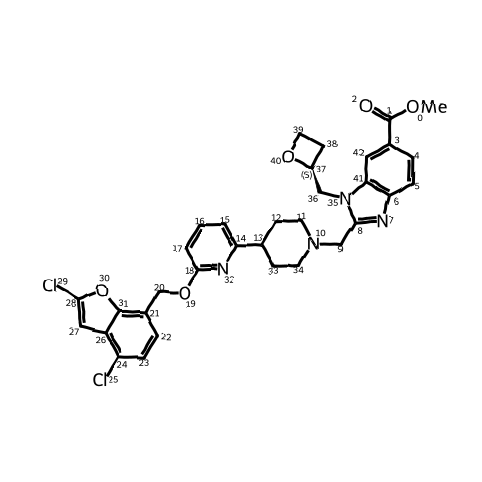 COC(=O)c1ccc2nc(CN3CCC(c4cccc(OCc5ccc(Cl)c6cc(Cl)oc56)n4)CC3)n(C[C@@H]3CCO3)c2c1